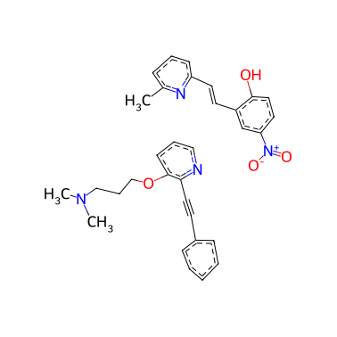 CN(C)CCCOc1cccnc1C#Cc1ccccc1.Cc1cccc(C=Cc2cc([N+](=O)[O-])ccc2O)n1